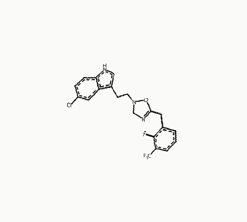 Fc1c(CC2=NCN(CCc3c[nH]c4ccc(Cl)cc34)O2)cccc1C(F)(F)F